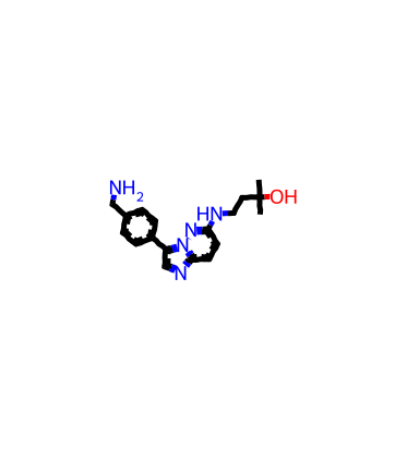 CC(C)(O)CCNc1ccc2ncc(-c3ccc(CN)cc3)n2n1